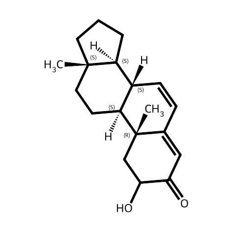 C[C@@]12CCC[C@H]1[C@@H]1C=CC3=CC(=O)C(O)C[C@]3(C)[C@H]1CC2